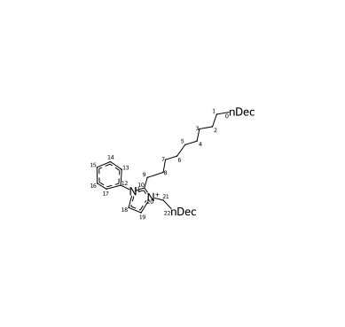 CCCCCCCCCCCCCCCCCCCc1n(-c2ccccc2)cc[n+]1CCCCCCCCCCC